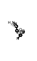 Cc1ccc(-c2ccc3nc(N)nn3c2)cc1NC(=O)N1OCC[C@H]1c1ccc(C#N)cc1